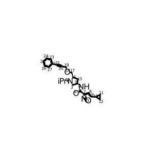 CC(C)N1C[C@H](NC(=O)c2cc(C3CC3)on2)C[C@@H]1COCC#Cc1ccccc1